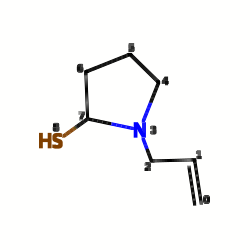 C=CCN1CCCC1S